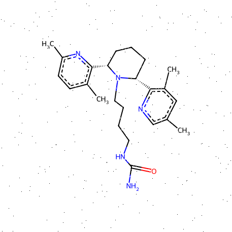 Cc1cnc([C@H]2CCC[C@@H](c3nc(C)ccc3C)N2CCCCNC(N)=O)c(C)c1